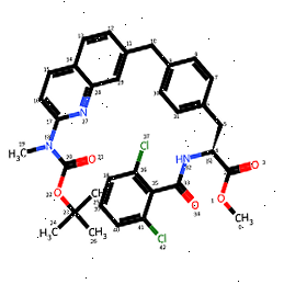 COC(=O)[C@H](Cc1ccc(Cc2ccc3ccc(N(C)C(=O)OC(C)(C)C)nc3c2)cc1)NC(=O)c1c(Cl)cccc1Cl